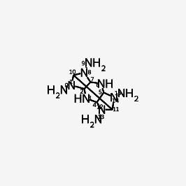 NN1C2NC3C4NC2N(N)C1C(N3N)N4N